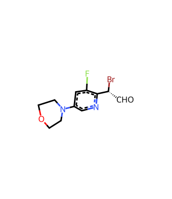 O=C[C@@H](Br)c1ncc(N2CCOCC2)cc1F